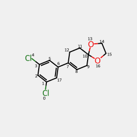 Clc1cc(Cl)cc(C2=CCC3(CC2)OCCO3)c1